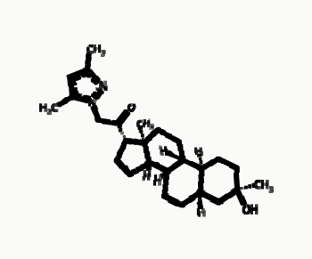 Cc1cc(C)n(CC(=O)[C@H]2CC[C@H]3[C@@H]4CC[C@H]5C[C@](C)(O)CC[C@@H]5[C@H]4CC[C@]23C)n1